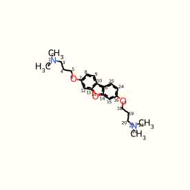 CN(C)CCCOc1ccc2c(c1)oc1cc(OCCCN(C)C)ccc12